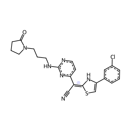 N#C/C(=C1/NC(c2cccc(Cl)c2)=CS1)c1ccnc(NCCCN2CCCC2=O)n1